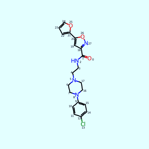 O=C(NCCN1CCN(c2ccc(Cl)cc2)CC1)c1cc(-c2ccco2)on1